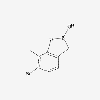 Cc1c(Br)ccc2c1OB(O)C2